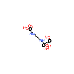 Oc1cccc(CCc2c(CCNCCCCCCNCCc3ccc(O)c(O)c3)ccc(O)c2O)c1